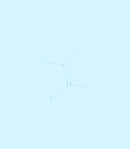 [CH2]CN(C)C(F)F